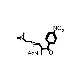 CC(=O)NC(CSCCN(C)C)C(=O)c1ccc([N+](=O)[O-])cc1